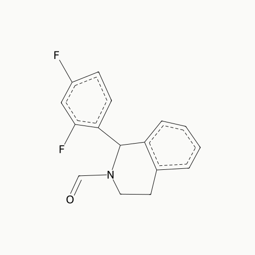 O=CN1CCc2ccccc2C1c1ccc(F)cc1F